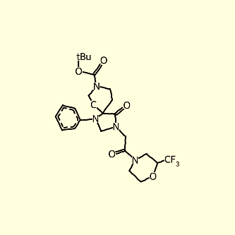 CC(C)(C)OC(=O)N1CCC2(CC1)C(=O)N(CC(=O)N1CCOC(C(F)(F)F)C1)CN2c1ccccc1